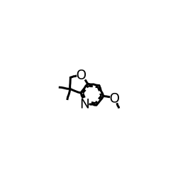 COc1cnc2c(c1)OCC2(C)C